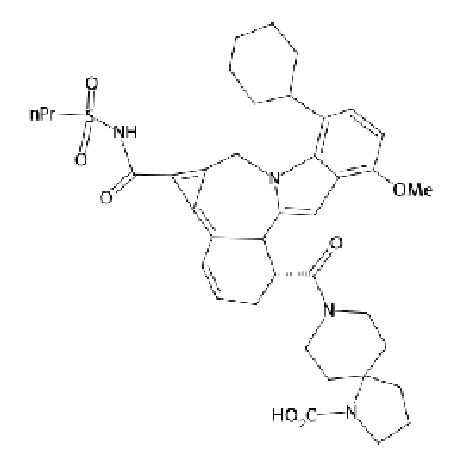 CCCS(=O)(=O)NC(=O)C1=C2Cn3c(cc4c(OC)ccc(C5CCCCC5)c43)C3C(=C21)C=CC[C@H]3C(=O)N1CCC2(CCCN2C(=O)O)CC1